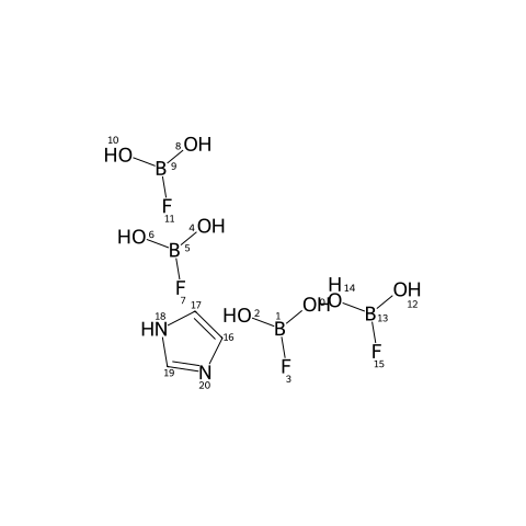 OB(O)F.OB(O)F.OB(O)F.OB(O)F.c1c[nH]cn1